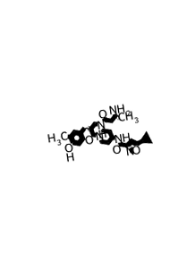 Cc1cc(C[C@H](CNC(=O)C[C@@H](C)N)C(=O)N2CCC(NC(=O)c3cc(C4CC4)on3)CC2)ccc1O